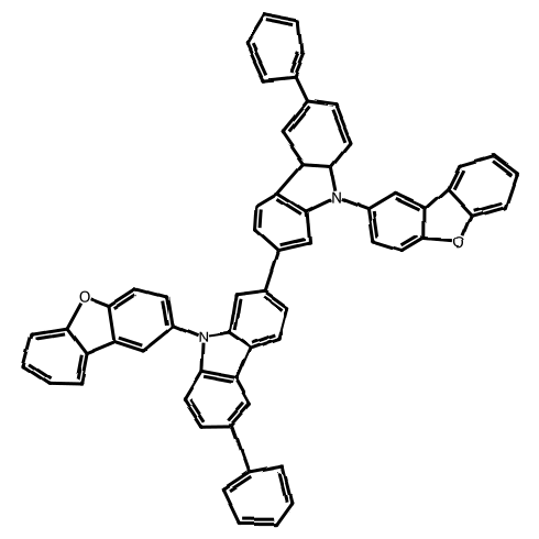 C1=CC2C(C=C1c1ccccc1)c1ccc(-c3ccc4c5cc(-c6ccccc6)ccc5n(-c5ccc6oc7ccccc7c6c5)c4c3)cc1N2c1ccc2oc3ccccc3c2c1